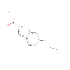 COC(=O)c1cc2ccc(OCCN)cc2s1